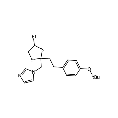 CCC1CSC(CCc2ccc(OC(C)(C)C)cc2)(Cn2ccnc2)S1